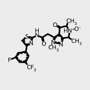 CC1C(=O)c2c(nn(C)c2CC(=O)Nc2nc(-c3cc(F)cc(C(F)(F)F)c3)cs2)C(C)[NH+]1[O-]